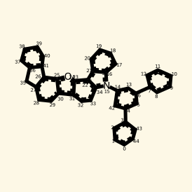 c1ccc(-c2cc(-c3ccccc3)cc(-n3c4ccccc4c4c5oc6c7c(ccc6c5ccc43)Cc3ccccc3-7)c2)cc1